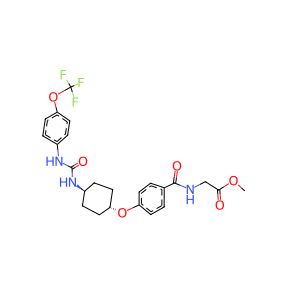 COC(=O)CNC(=O)c1ccc(O[C@H]2CC[C@H](NC(=O)Nc3ccc(OC(F)(F)F)cc3)CC2)cc1